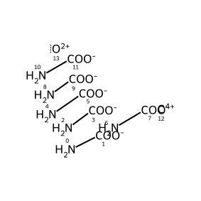 NC(=O)[O-].NC(=O)[O-].NC(=O)[O-].NC(=O)[O-].NC(=O)[O-].NC(=O)[O-].[C+4].[O+2]